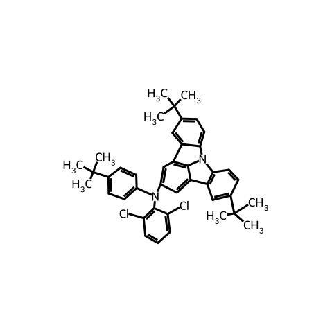 CC(C)(C)c1ccc(N(c2cc3c4cc(C(C)(C)C)ccc4n4c5ccc(C(C)(C)C)cc5c(c2)c34)c2c(Cl)cccc2Cl)cc1